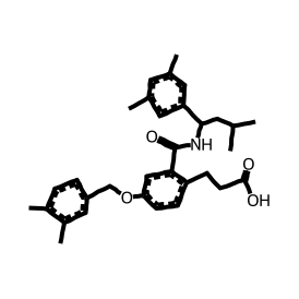 Cc1cc(C)cc(C(CC(C)C)NC(=O)c2cc(OCc3ccc(C)c(C)c3)ccc2CCC(=O)O)c1